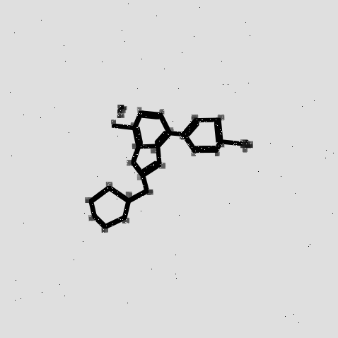 CCC(C)c1ccc(-c2ccc(C)c3c2C=C(CC2CCCCC2)[CH]3)cc1.[Zr]